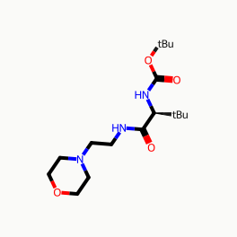 CC(C)(C)OC(=O)N[C@H](C(=O)NCCN1CCOCC1)C(C)(C)C